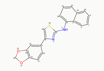 c1ccc2c(Nc3nc(-c4ccc5c(c4)OCO5)cs3)cccc2c1